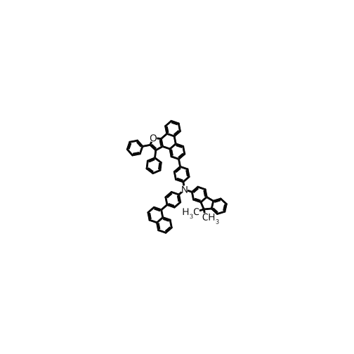 CC1(C)c2ccccc2-c2ccc(N(c3ccc(-c4ccc5c6ccccc6c6oc(-c7ccccc7)c(-c7ccccc7)c6c5c4)cc3)c3ccc(-c4cccc5ccccc45)cc3)cc21